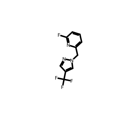 Fc1cccc(Cn2cc(C(F)(F)F)cn2)n1